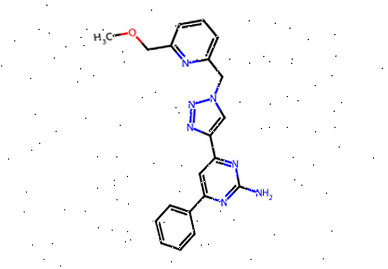 COCc1cccc(Cn2cc(-c3cc(-c4c[c]ccc4)nc(N)n3)nn2)n1